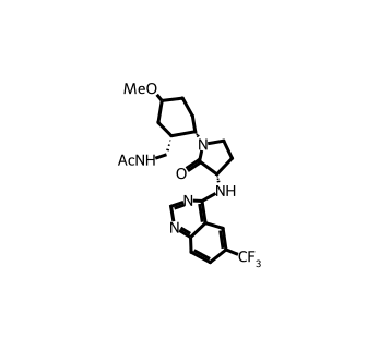 COC1CC[C@H](N2CC[C@H](Nc3ncnc4ccc(C(F)(F)F)cc34)C2=O)[C@H](CNC(C)=O)C1